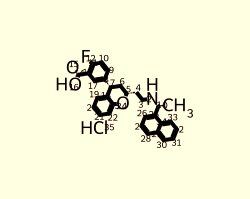 C[C@@H](NCC[C@H]1C[C@@H](c2ccc(F)c(C(=O)O)c2)c2ccccc2O1)c1cccc2ccccc12.Cl